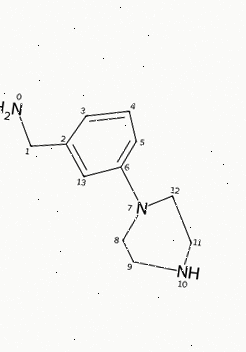 NCc1cccc(N2CCNCC2)c1